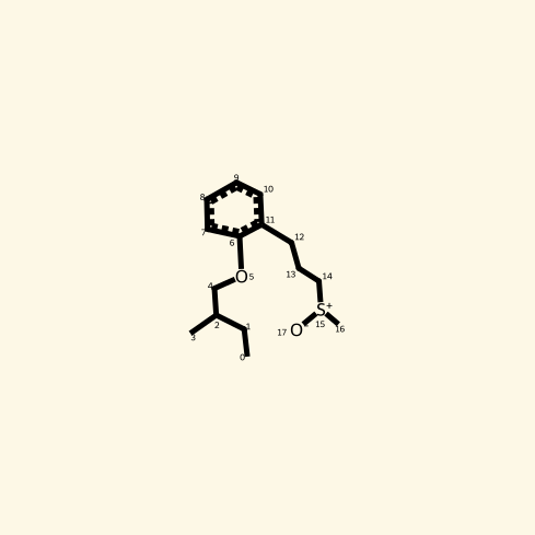 CCC(C)COc1ccccc1CCC[S+](C)[O-]